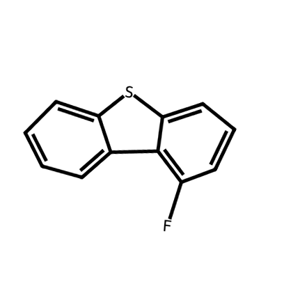 Fc1cccc2sc3ccccc3c12